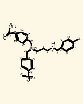 Cc1ccc(CNCCCN(Cc2ccc(C(=O)O)cc2)Cc2ccc(C(C)(C)C)cc2)cc1